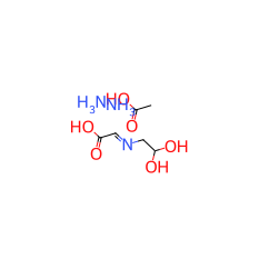 CC(=O)O.N.N.O=C(O)C=NCC(O)O